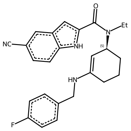 CCN(C(=O)c1cc2cc(C#N)ccc2[nH]1)[C@@H]1C=C(NCc2ccc(F)cc2)CCC1